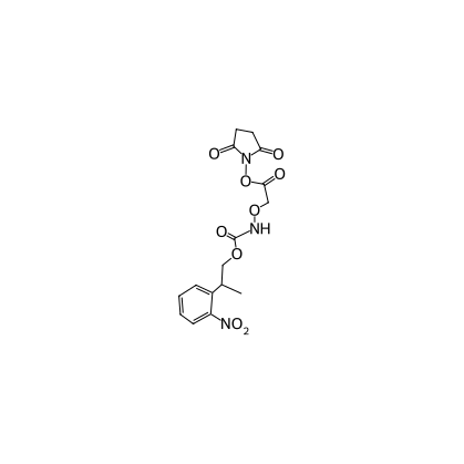 CC(COC(=O)NOCC(=O)ON1C(=O)CCC1=O)c1ccccc1[N+](=O)[O-]